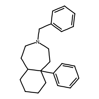 c1ccc(CN2CCC3CCCCC3(c3ccccc3)CC2)cc1